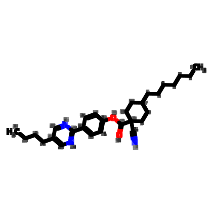 CCCCCCCC1CCC(C#N)(C(=O)Oc2ccc(-c3ncc(CCCC)cn3)cc2)CC1